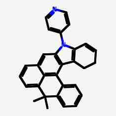 CC1(C)c2ccccc2-c2c3c1cccc3cc1c2c2c(n1-c1ccncc1)C=CCC2